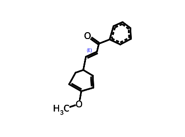 COC1=CCC(/C=C/C(=O)c2ccccc2)C=C1